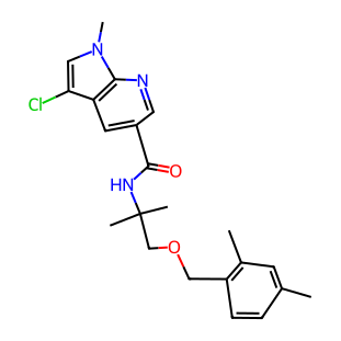 Cc1ccc(COCC(C)(C)NC(=O)c2cnc3c(c2)c(Cl)cn3C)c(C)c1